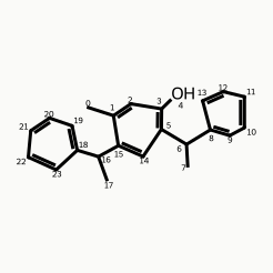 Cc1cc(O)c(C(C)c2ccccc2)cc1C(C)c1ccccc1